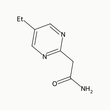 CCc1cnc(CC(N)=O)nc1